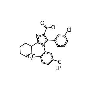 Cc1ccc(Cl)cc1-n1c(C2CCCCC2)nc(C(=O)[O-])c1-c1cccc(Cl)c1.[Li+]